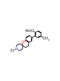 CCN1CCC2(CCc3cc(-c4cc(C)ccc4OC)ccc3O2)CC1